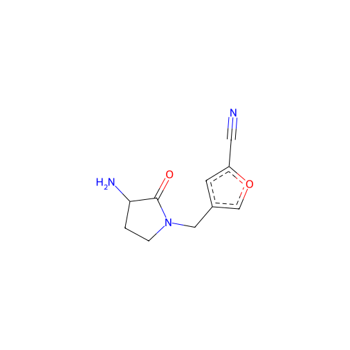 N#Cc1cc(CN2CCC(N)C2=O)co1